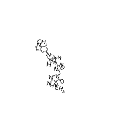 Cn1ccc2cc(N3C[C@@H]4[C@H](C3)[C@H]4c3noc(Cn4cnc5ncn(C)c5c4=O)n3)ccc21